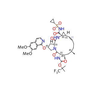 COc1cc2ccnc(O[C@@H]3C[C@H]4C(=O)N[C@]5(C(=O)NS(=O)(=O)C6CC6)C[C@H]5/C=C\CC[C@@H](C)C[C@@H](C)[C@H](NC(=O)OC(C)(C)C(F)(F)F)C(=O)N4C3)c2cc1OC